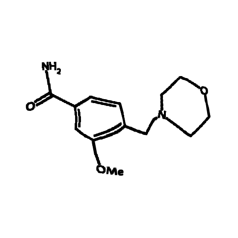 COc1cc(C(N)=O)ccc1CN1CCOCC1